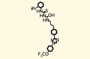 CC(C)c1ccccc1NC(=S)NC(O)NCCCc1ccc(-c2ncn(-c3ccc(OC(F)(F)F)cc3)n2)cc1